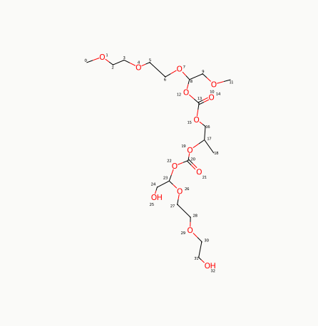 COCCOCCOC(COC)OC(=O)OCC(C)OC(=O)OC(CO)OCCOCCO